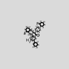 Cc1c(N2CCN(c3ccccc3F)CC2)c(=O)n(C[C@H](N)c2ccccc2)c(=O)n1Cc1c(F)cccc1F